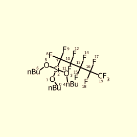 CCCCO[Si](OCCCC)(OCCCC)C(F)(F)C(F)(F)C(F)(F)C(F)(F)C(F)(F)F